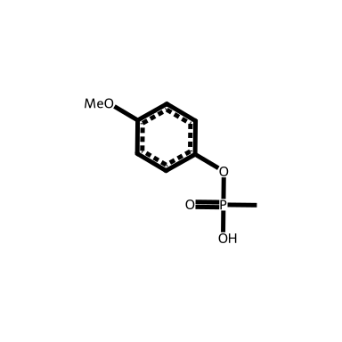 COc1ccc(OP(C)(=O)O)cc1